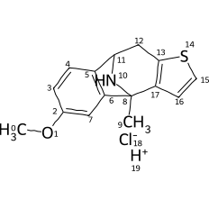 COc1ccc2c(c1)C1(C)NC2Cc2sccc21.[Cl-].[H+]